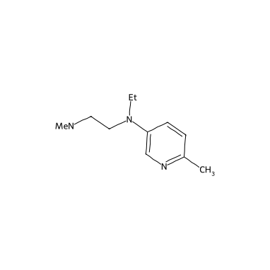 CCN(CCNC)c1ccc(C)nc1